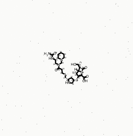 C[C@@H](O)[C@H]1C(=O)N2C(C(=O)O)=C(S[C@@H]3CN[C@H](CSCCC(=O)N(CCNC(N)=O)CN4CCCCC4)C3)[C@H](C)[C@H]12